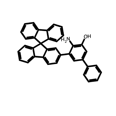 Nc1c(O)cc(-c2ccccc2)cc1-c1ccc2c(c1)C1(c3ccccc3-c3ccccc31)c1ccccc1-2